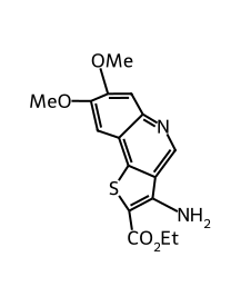 CCOC(=O)c1sc2c(cnc3cc(OC)c(OC)cc32)c1N